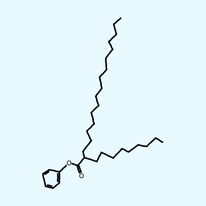 CCCCCCCCCCCCCCCCC(CCCCCCCCC)C(=O)Oc1ccccc1